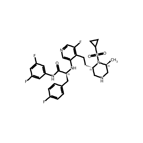 C[C@H]1CNC[C@H](CCc2c(F)cncc2N[C@@H](Cc2ccc(F)cc2)C(=O)Nc2cc(F)cc(F)c2)N1S(=O)(=O)C1CC1